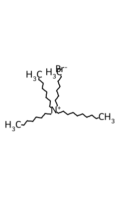 CCCCCCCCCC[N+](CCCCCCCC)(CCCCCCCC)CCCCCCCC.[Br-]